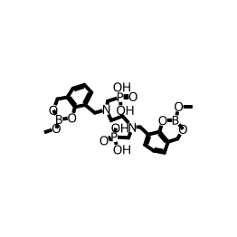 COB1OCc2cccc(CN(CCN(Cc3cccc4c3OB(OC)OC4)CP(=O)(O)O)CP(=O)(O)O)c2O1